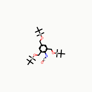 CC(C)(C)[Si](C)(C)OCc1cc(CO[Si](C)(C)C(C)(C)C)c(N=C=O)c(CO[Si](C)(C)C(C)(C)C)c1